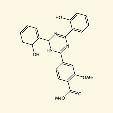 COC(=O)c1ccc(C2=NC(c3ccccc3O)=NC(C3=CC=CCC3O)N2)cc1OC